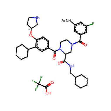 CC(=O)Nc1cc(F)cc(C(=O)N2CCN(C(=O)c3ccc(O[C@H]4CCNC4)c(C4CCCCC4)c3)C(C(=O)NCC3CCCCC3)C2)c1.O=C(O)C(F)(F)F